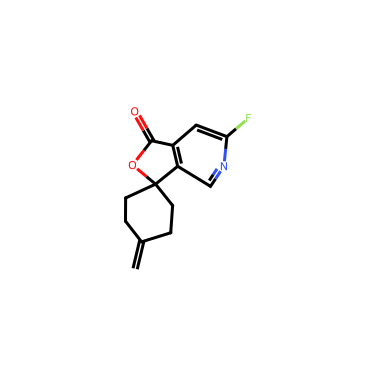 C=C1CCC2(CC1)OC(=O)c1cc(F)ncc12